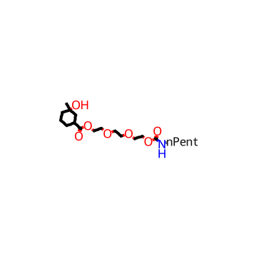 CCCCCNC(=O)OCCOCCOCCOC(=O)C1CCCC(C)(O)C1